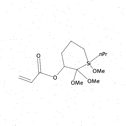 C=CC(=O)OC1CCC[Si](CCC)(OC)C1(OC)OC